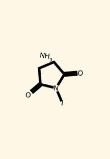 N.O=C1CCC(=O)N1I